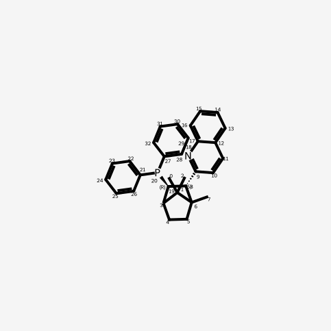 CC1(C)C2CCC1(C)[C@@H](c1ccc3ccccc3n1)[C@@H]2P(c1ccccc1)c1ccccc1